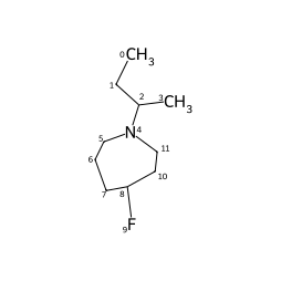 CCC(C)N1CCCC(F)CC1